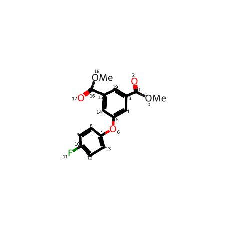 COC(=O)c1cc(Oc2ccc(F)cc2)cc(C(=O)OC)c1